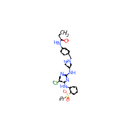 C=CC(=O)Nc1ccc(Cn2cc(Nc3ncc(Cl)c(Nc4ccccc4S(=O)(=O)C(C)C)n3)cn2)cc1